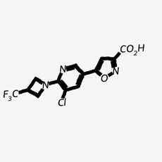 O=C(O)c1cc(-c2cnc(N3CC(C(F)(F)F)C3)c(Cl)c2)on1